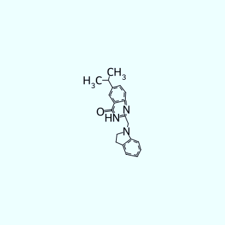 CC(C)c1ccc2nc(CN3CCc4ccccc43)[nH]c(=O)c2c1